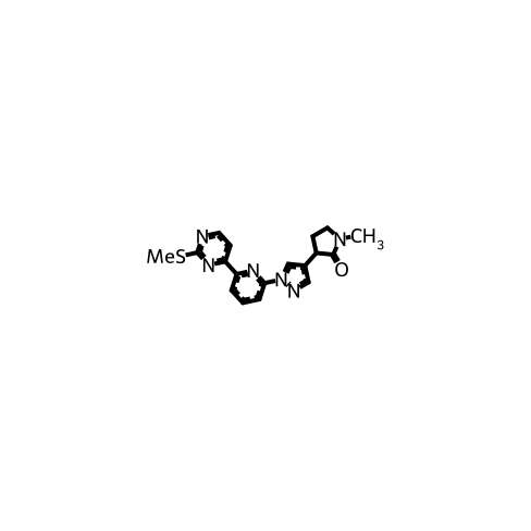 CSc1nccc(-c2cccc(-n3cc(C4CCN(C)C4=O)cn3)n2)n1